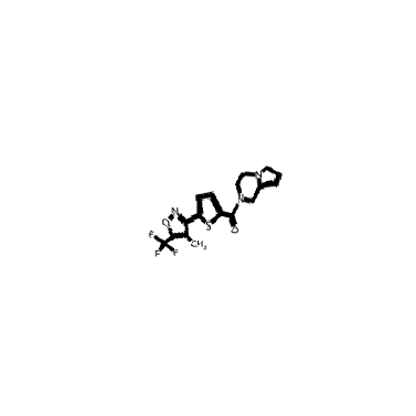 Cc1c(-c2ccc(C(=O)N3CCN4CCC=C4C3)s2)noc1C(F)(F)F